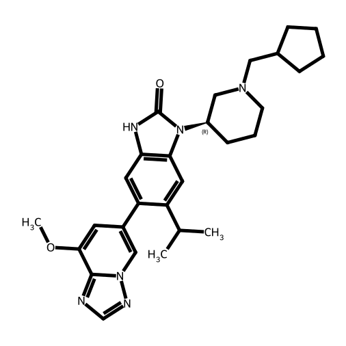 COc1cc(-c2cc3[nH]c(=O)n([C@@H]4CCCN(CC5CCCC5)C4)c3cc2C(C)C)cn2ncnc12